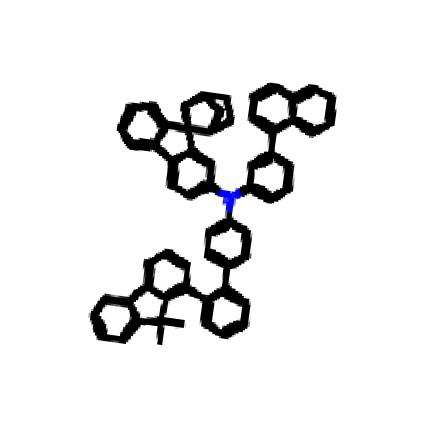 CC1(C)c2ccccc2-c2cccc(-c3ccccc3-c3ccc(N(c4cccc(-c5cccc6ccccc56)c4)c4ccc5c(c4)C4(CC6CCC4C6)c4ccccc4-5)cc3)c21